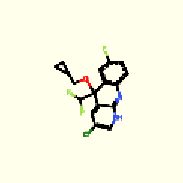 Fc1ccc2c(c1)C(OCC1CC1)(C(F)F)C1=CC(Cl)=CNC1=N2